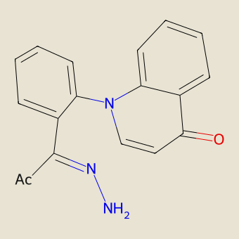 CC(=O)C(=NN)c1ccccc1-n1ccc(=O)c2ccccc21